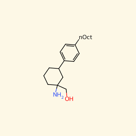 CCCCCCCCc1ccc(C2CCCC(N)(CO)C2)cc1